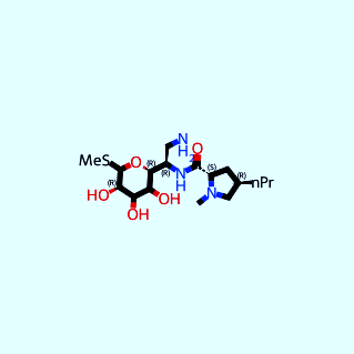 CCC[C@@H]1C[C@@H](C(=O)N[C@H](CN)[C@H]2OC(SC)[C@H](O)C(O)C2O)N(C)C1